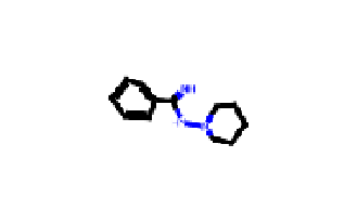 N=C(NN1CCCCC1)c1ccccc1